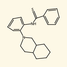 S=C(Nc1ccccc1N1CCC2CCCCC2C1)c1ccccc1